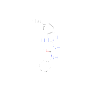 CCCCc1ccc2nc(NC(=O)NC3CCCCC3)[nH]c2c1